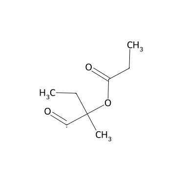 CCC(=O)OC(C)([C]=O)CC